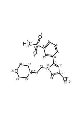 CS(=O)(=O)c1cccc(-c2cc(C(F)(F)F)nn2CCN2CCOCC2)c1